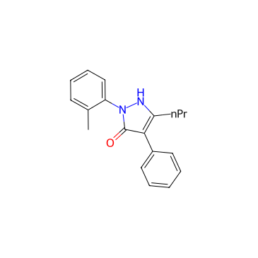 CCCc1[nH]n(-c2ccccc2C)c(=O)c1-c1ccccc1